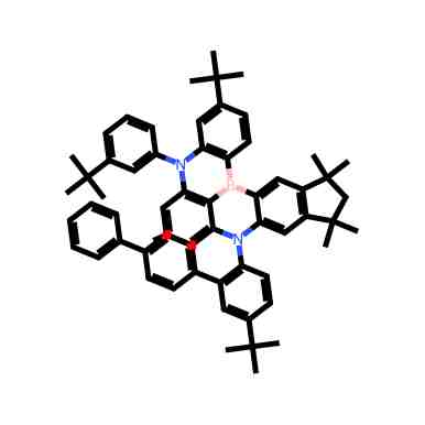 Cc1cc2c3c(c1)N(c1ccc(C(C)(C)C)cc1-c1ccc(-c4ccccc4)cc1)c1cc4c(cc1B3c1ccc(C(C)(C)C)cc1N2c1cccc(C(C)(C)C)c1)C(C)(C)CC4(C)C